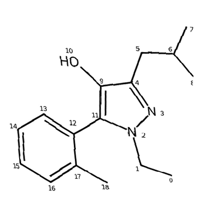 CCn1nc(CC(C)C)c(O)c1-c1ccccc1C